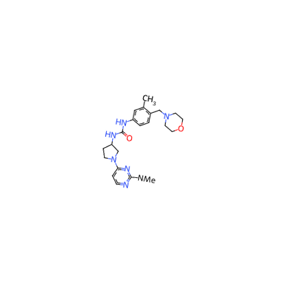 CNc1nccc(N2CCC(NC(=O)Nc3ccc(CN4CCOCC4)c(C)c3)C2)n1